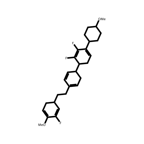 COC1=CCC(CCC2=CCC(C3CC=C(C4CCC(OC)CC4)C(F)=C3F)C=C2)C=C1F